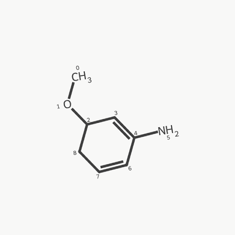 COC1C=C(N)C=CC1